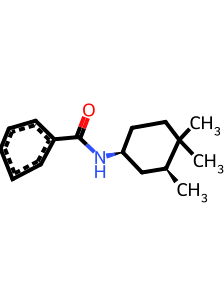 C[C@H]1C[C@@H](NC(=O)c2ccccc2)CCC1(C)C